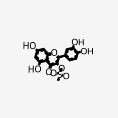 CS(=O)(=O)Oc1c(-c2ccc(O)c(O)c2)oc2cc(O)cc(O)c2c1=O